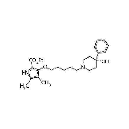 CCOC(=O)c1[nH]c(C)c(C)c1OCCCCCN1CCC(O)(c2ccccc2)CC1